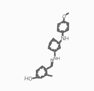 COc1ccc(Nc2cccc(N/N=C/c3ccc(O)cc3C)c2)cc1